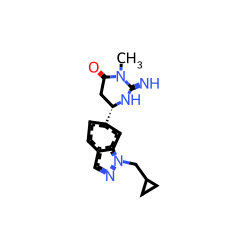 CN1C(=N)N[C@H](c2ccc3cnn(CC4CC4)c3c2)CC1=O